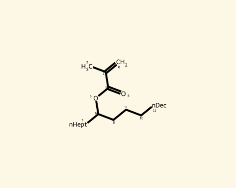 C=C(C)C(=O)OC(CCCCCCC)CCCCCCCCCCCCC